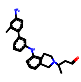 Cc1cc(N)ccc1-c1cccc(Nc2cccc3c2CCN(C(C)CC=O)C3)c1